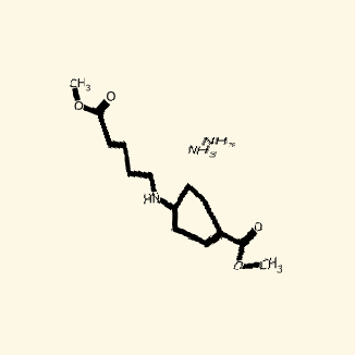 COC(=O)CCCCNC1CCC(C(=O)OC)CC1.N.N